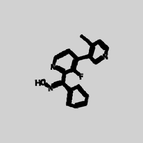 Cc1ccncc1-c1ccnc(/C(=N\O)c2ccccc2)c1F